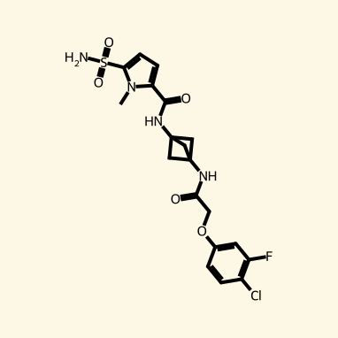 Cn1c(C(=O)NC23CC(NC(=O)COc4ccc(Cl)c(F)c4)(C2)C3)ccc1S(N)(=O)=O